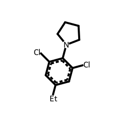 CCc1cc(Cl)c(N2CCCC2)c(Cl)c1